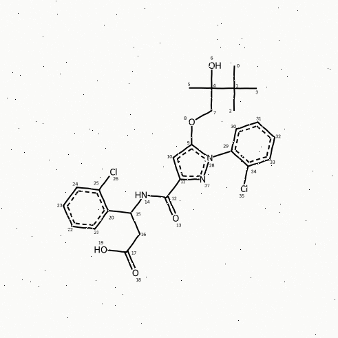 CC(C)(C)C(C)(O)COc1cc(C(=O)NC(CC(=O)O)c2ccccc2Cl)nn1-c1ccccc1Cl